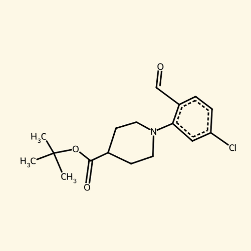 CC(C)(C)OC(=O)C1CCN(c2cc(Cl)ccc2C=O)CC1